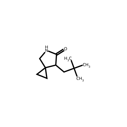 CC(C)(C)CC1C(=O)NCC12CC2